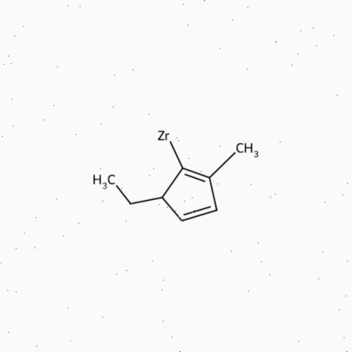 CCC1C=CC(C)=[C]1[Zr]